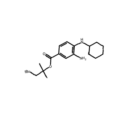 CC(C)(C)CC(C)(C)OC(=O)c1ccc(NC2CCCCC2)c(N)c1